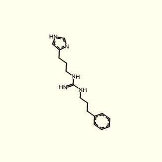 N=C(NCCCc1ccccc1)NCCCc1c[nH]cn1